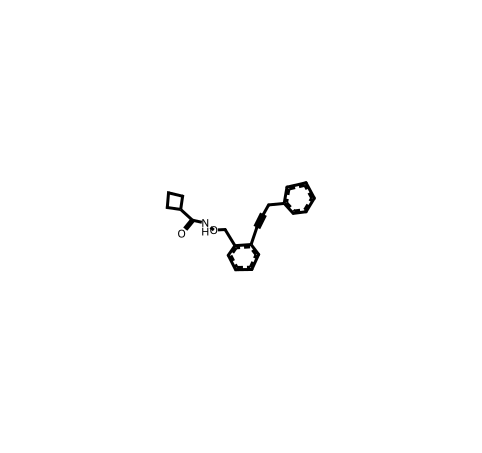 O=C(NOCc1ccccc1C#CCc1ccccc1)C1CCC1